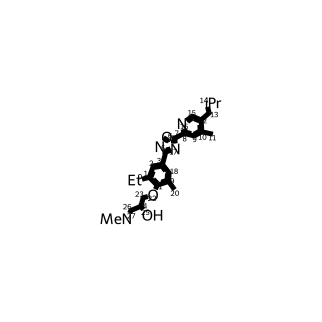 CCc1cc(-c2noc(-c3cc(C)c(CC(C)C)cn3)n2)cc(C)c1OCC(O)CNC